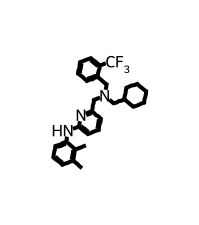 Cc1cccc(Nc2cccc(CN(Cc3ccccc3C(F)(F)F)CC3CCCCC3)n2)c1C